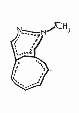 Cn1ncc2ccc[c]c21